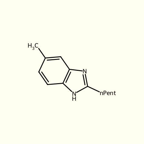 CCCCCc1nc2cc(C)ccc2[nH]1